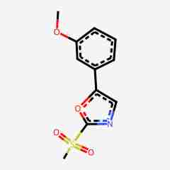 COc1cccc(-c2cnc(S(C)(=O)=O)o2)c1